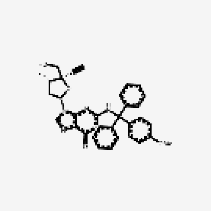 C#C[C@]1(CO)O[C@@H](n2cnc3c(=O)[nH]c(NC(c4ccccc4)(c4ccccc4)c4ccc(OC)cc4)nc32)C[C@@H]1C